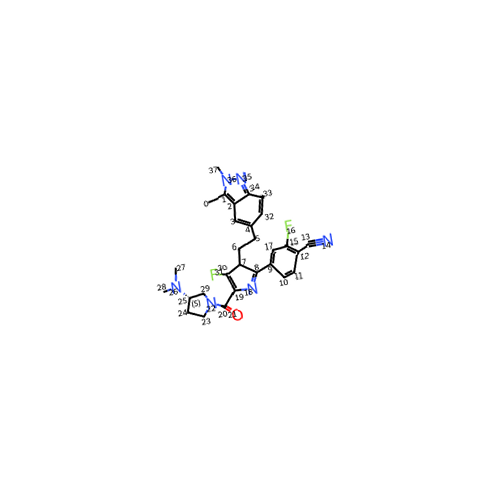 Cc1c2cc(CCC3C(c4ccc(C#N)c(F)c4)=NC(C(=O)N4CC[C@H](N(C)C)C4)=C3F)ccc2nn1C